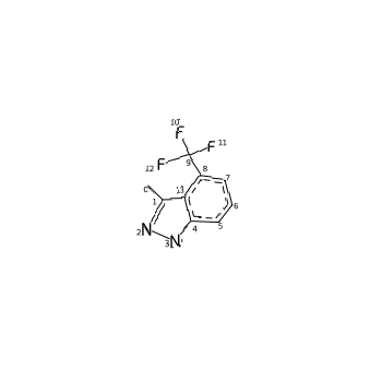 CC1=N[N]c2cccc(C(F)(F)F)c21